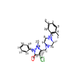 Cc1ccc(C)c(N2CCN(Cc3c(Cl)c(=O)n(-c4ccccc4)n3C)CC2)c1